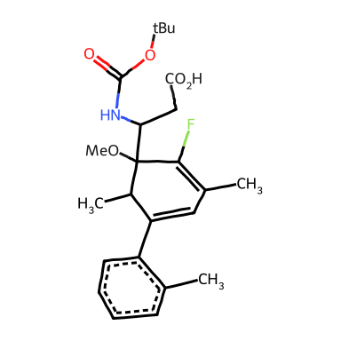 COC1(C(CC(=O)O)NC(=O)OC(C)(C)C)C(F)=C(C)C=C(c2ccccc2C)C1C